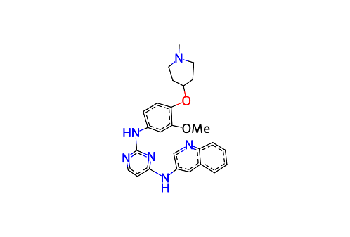 COc1cc(Nc2nccc(Nc3cnc4ccccc4c3)n2)ccc1OC1CCN(C)CC1